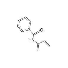 C=CC(=C)NC(=O)c1ccccc1